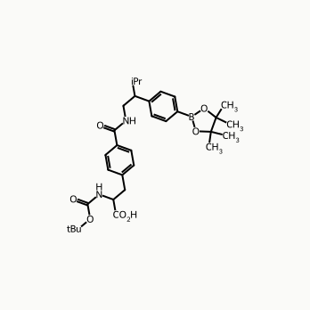 CC(C)C(CNC(=O)c1ccc(CC(NC(=O)OC(C)(C)C)C(=O)O)cc1)c1ccc(B2OC(C)(C)C(C)(C)O2)cc1